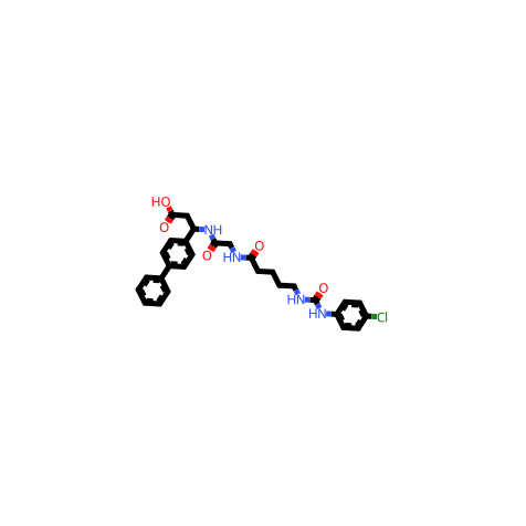 O=C(O)CC(NC(=O)CNC(=O)CCCCNC(=O)Nc1ccc(Cl)cc1)c1ccc(-c2ccccc2)cc1